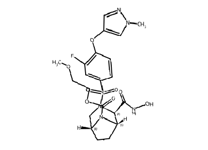 COCCOC(=O)N1[C@@H]2CC[C@H]1[C@H](C(=O)NO)N(S(=O)(=O)c1ccc(Oc3cnn(C)c3)c(F)c1)C2